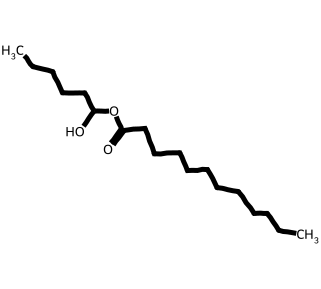 CCCCCCCCCCCC(=O)OC(O)CCCCC